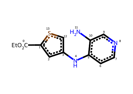 CCOC(=O)c1cc(Nc2ccncc2N)cs1